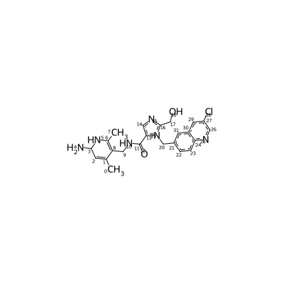 CC1=CC(N)NC(C)=C1CNC(=O)c1cnc(CO)n1Cc1ccc2ncc(Cl)cc2c1